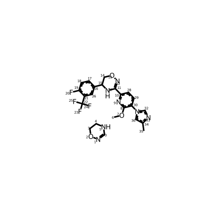 C1=NOCCN1.COc1nc(C2=NOCC(c3ccc(F)c(C(F)(F)F)c3)N2)ccc1-n1cnc(C)c1